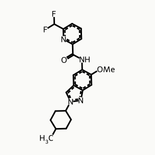 COc1cc2nn(C3CCC(C)CC3)cc2cc1NC(=O)c1cccc(C(F)F)n1